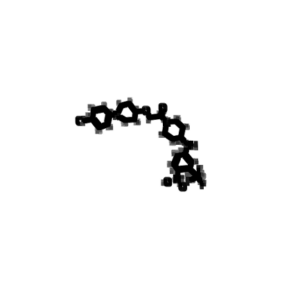 O=C(COC1CCN(c2ccc(Cl)cc2)CC1)N1CCC(Nc2ccc([N+](=O)[O-])c(C(F)(F)F)c2)CC1